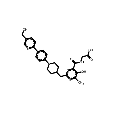 Cc1nc(CC2CCN(c3ccc(-c4ccc(CO)cn4)cc3)CC2)nc(C(=O)NCC(=O)O)c1O